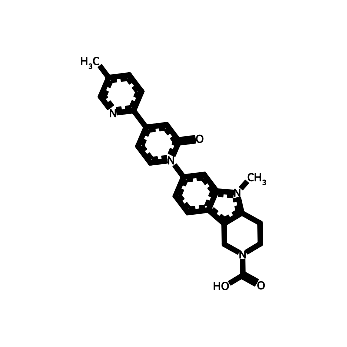 Cc1ccc(-c2ccn(-c3ccc4c5c(n(C)c4c3)CCN(C(=O)O)C5)c(=O)c2)nc1